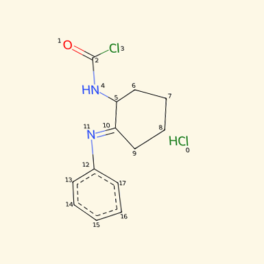 Cl.O=C(Cl)NC1CCCCC1=Nc1ccccc1